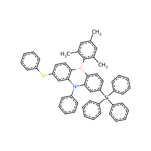 Cc1cc(C)c(B2c3ccc(Sc4ccccc4)cc3N(c3ccccc3)c3cc([Si](c4ccccc4)(c4ccccc4)c4ccccc4)ccc32)c(C)c1